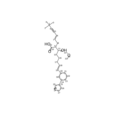 CC(C)(C)C#CC=CCC(C(=O)O)C(O)CCCC=Cc1cccc(-c2ccsc2)c1.COC